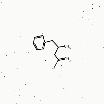 C=C(CC)CC(C)Cc1ccccc1